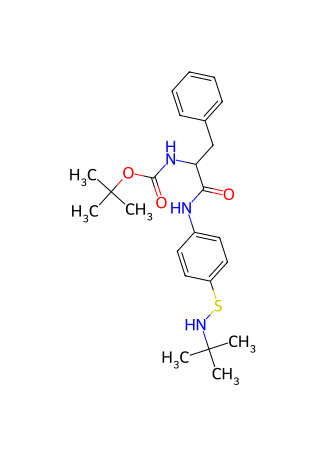 CC(C)(C)NSc1ccc(NC(=O)C(Cc2ccccc2)NC(=O)OC(C)(C)C)cc1